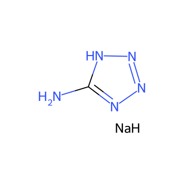 Nc1nnn[nH]1.[NaH]